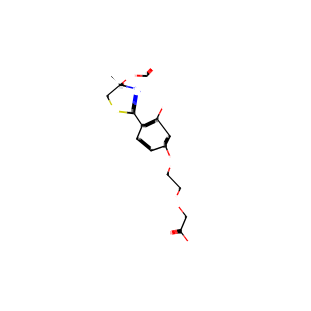 C[C@]1(OC=O)CSC(c2ccc(OCCOCC(=O)O)cc2O)=N1